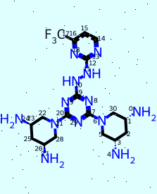 N[C@@H]1C[C@H](N)CN(c2nc(NNc3nccc(C(F)(F)F)n3)nc(N3C[C@H](N)C[C@H](N)C3)n2)C1